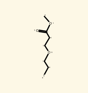 COC(=O)CCOCCI